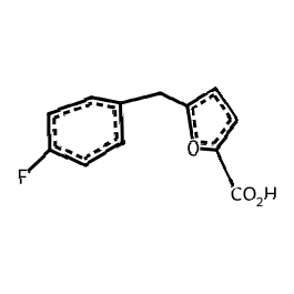 O=C(O)c1ccc(Cc2ccc(F)cc2)o1